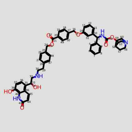 O=C(NC(c1ccccc1)c1cccc(OCc2ccc(C(=O)OCc3ccc(CCNCC(O)c4ccc(O)c5[nH]c(=O)ccc45)cc3)cc2)c1)OC1CN2CCC1CC2